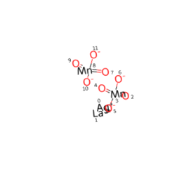 [Ag+].[La+3].[O]=[Mn](=[O])([O-])[O-].[O]=[Mn](=[O])([O-])[O-]